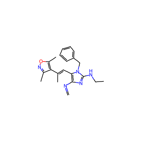 C=Nc1nc(NCC)n(Cc2ccccc2)c1/C=C(\C)c1c(C)noc1C